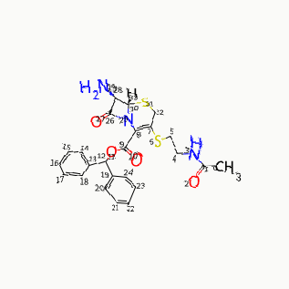 CC(=O)NCCSC1=C(C(=O)OC(c2ccccc2)c2ccccc2)N2C(=O)[C@@H](N)[C@@H]2SC1